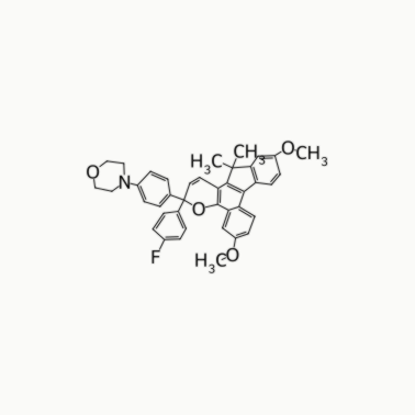 COc1ccc2c(c1)C(C)(C)c1c3c(c4cc(OC)ccc4c1-2)OC(c1ccc(F)cc1)(c1ccc(N2CCOCC2)cc1)C=C3